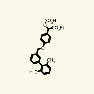 CCOC(=O)C(OS(=O)(=O)O)c1ccc(OCc2cccc(-c3c(C)cccc3C)c2)cc1